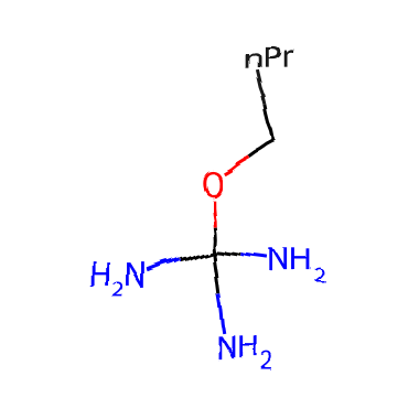 CCCCOC(N)(N)N